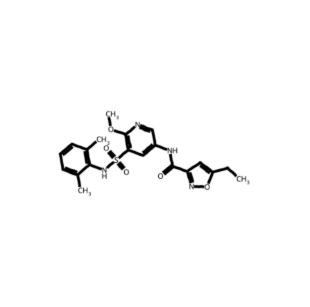 CCc1cc(C(=O)Nc2cnc(OC)c(S(=O)(=O)Nc3c(C)cccc3C)c2)no1